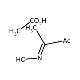 CC(=O)C(C)=NO.CC(=O)O